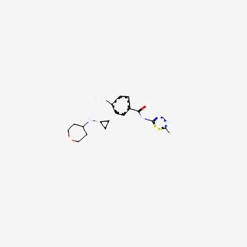 Cc1nnc(NC(=O)c2ccc(C)c([C@@H]3C[C@H]3NC3CCOCC3)c2)s1.Cl